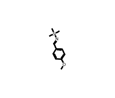 COc1ccc(C=N[Si](C)(C)C)cc1